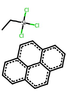 CC[Si](Cl)(Cl)Cl.c1cc2ccc3cccc4ccc(c1)c2c34